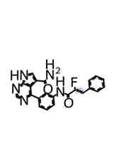 NC(=O)c1c[nH]c2ncnc(-c3cccc(NC(=O)/C(F)=C/c4ccccc4)c3)c12